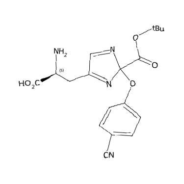 CC(C)(C)OC(=O)C1(Oc2ccc(C#N)cc2)N=CC(C[C@H](N)C(=O)O)=N1